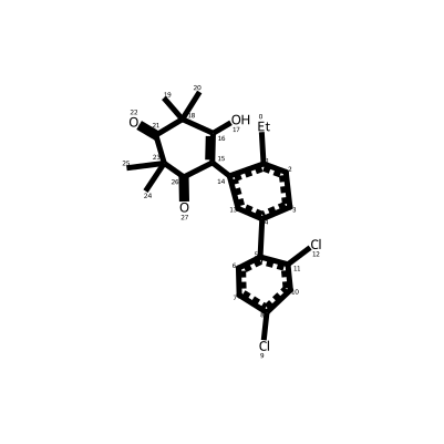 CCc1ccc(-c2ccc(Cl)cc2Cl)cc1C1=C(O)C(C)(C)C(=O)C(C)(C)C1=O